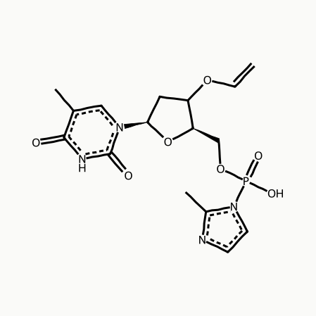 C=COC1C[C@H](n2cc(C)c(=O)[nH]c2=O)O[C@@H]1COP(=O)(O)n1ccnc1C